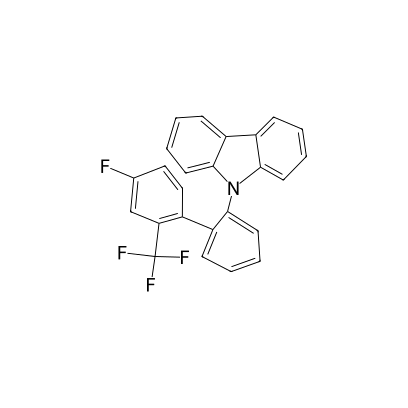 Fc1ccc(-c2ccccc2-n2c3ccccc3c3ccccc32)c(C(F)(F)F)c1